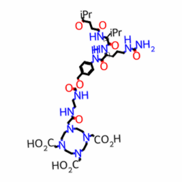 CC(C)C(=O)CCC(=O)N[C@H](C(=O)N[C@@H](CCCNC(N)=O)C(=O)Nc1ccc(COC(=O)NCCNC(=O)CN2CCN(CC(=O)O)CCN(CC(=O)O)CCN(CC(=O)O)CC2)cc1)C(C)C